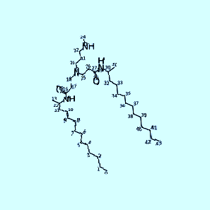 CCCCCCCCCCCCC(C)NC(=O)CCN(CCCNC)CCC(=O)NC(C)CCCCCCCCCCCC